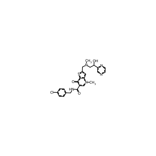 CN(Cc1cc2c(s1)c(=O)c(C(=O)NCc1ccc(Cl)cc1)cn2C)CC(O)c1cnccn1